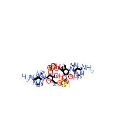 CC1C(n2cnc3c(N)ncnc32)C(O)C2OP(=O)(S)OCC3OC(n4cnc5c(N)ncnc54)C(OP(=O)(O)OCC12C)C3O